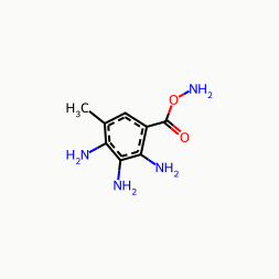 Cc1cc(C(=O)ON)c(N)c(N)c1N